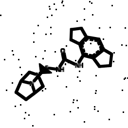 O=C(NSN1CC2CCC(C1)N2C1CC1)Nc1c2c(cc3c1CCC3)CCC2